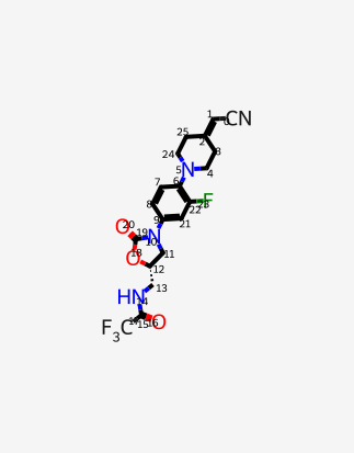 N#CC=C1CCN(c2ccc(N3C[C@H](CNC(=O)C(F)(F)F)OC3=O)cc2F)CC1